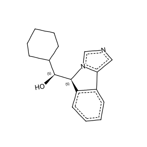 O[C@@H](C1CCCCC1)[C@@H]1c2ccccc2-c2cncn21